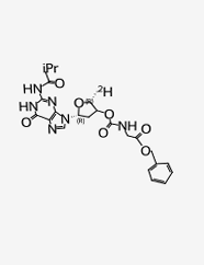 [2H]C[C@H]1O[C@@H](n2cnc3c(=O)[nH]c(NC(=O)C(C)C)nc32)CC1OC(=O)NCC(=O)OCc1ccccc1